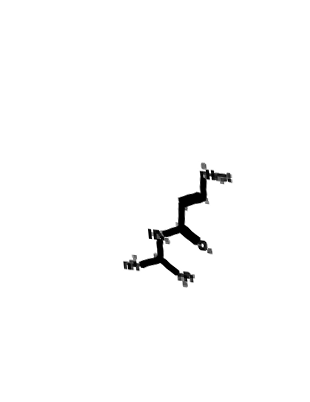 CCCCCCC/C=C/C(=O)NC(CCC)CCC